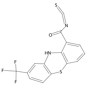 O=C(N=C=S)c1cccc2c1Nc1cc(C(F)(F)F)ccc1S2